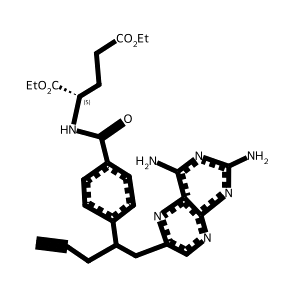 C#CCC(Cc1cnc2nc(N)nc(N)c2n1)c1ccc(C(=O)N[C@@H](CCC(=O)OCC)C(=O)OCC)cc1